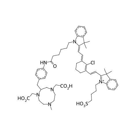 CN1CCN(CC(=O)O)CC(Cc2ccc(NC(=O)CCCCCN3/C(=C/C=C4\CCCC(/C=C/C5=[N+](CCCCS(=O)(=O)O)c6ccccc6C5(C)C)=C4Cl)C(C)(C)c4ccccc43)cc2)N(CC(=O)O)CC1